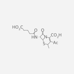 CC(=O)C1=C(C(=O)O)N2C(=O)[C@@H](NC(=O)CCCC(=O)O)C2SC1C